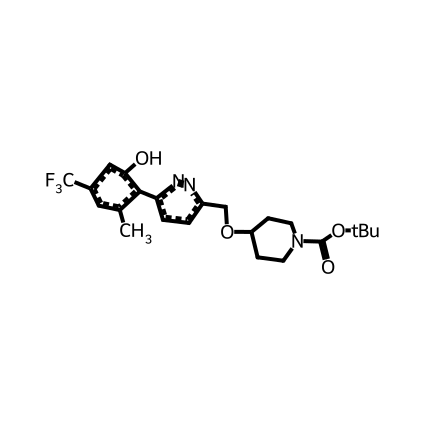 Cc1cc(C(F)(F)F)cc(O)c1-c1ccc(COC2CCN(C(=O)OC(C)(C)C)CC2)nn1